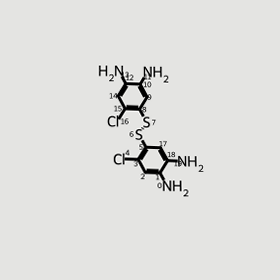 Nc1cc(Cl)c(SSc2cc(N)c(N)cc2Cl)cc1N